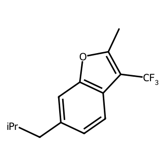 Cc1oc2cc(CC(C)C)ccc2c1C(F)(F)F